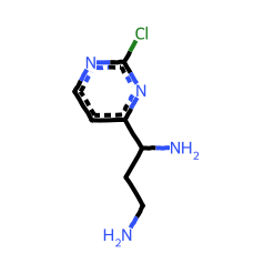 NCCC(N)c1ccnc(Cl)n1